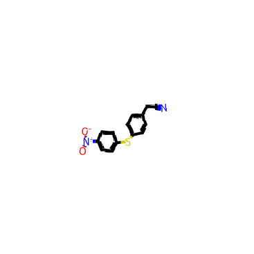 N#CCc1ccc(Sc2ccc([N+](=O)[O-])cc2)cc1